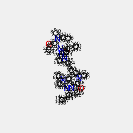 C1=C(c2cc(-n3c4ccccc4c4cc5ccccc5cc43)cc3oc4ccccc4c23)N=C(c2ccc(-c3ccccc3)cc2)N=C(c2cccc3c4cc(-c5ccc6cc7c(cc6c5)c5ccccc5n7-c5cc(C6CCC(c7cccc8c9ccccc9n(-c9ccccc9)c78)=NC(c7cccc(-c8ccccc8)c7)=N6)c6c(c5)oc5ccccc56)ccc4n(-c4ccccc4)c23)C1